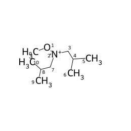 CO[N+](CC(C)C)CC(C)C